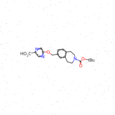 CC(C)(C)OC(=O)N1CCc2ccc(COc3cnc(C(=O)O)cn3)cc2CC1